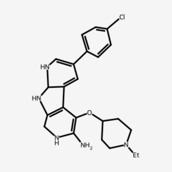 CCN1CCC(OC2=C(N)NCC3=C2C2=CC(c4ccc(Cl)cc4)=CNC2N3)CC1